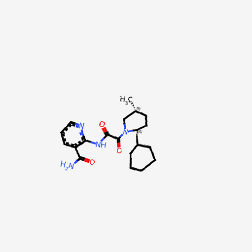 C[C@@H]1CC[C@@H](C2CCCCC2)N(C(=O)C(=O)Nc2ncccc2C(N)=O)C1